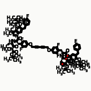 CC[C@H](N[C@@H](Cc1c(F)cc(OCC#CC#CCOc2cc(F)c(C[C@H](N[C@@H](CC)C(=O)N(C)C(=O)OC(C)(C)C)C(=O)N3CC(C)(C)c4nc(O[Si](C)(C)C(C)(C)C)c(Cc5ccc(F)cc5)cc43)c(F)c2)cc1F)C(=O)N1CC(C)(C)c2nc(O[Si](C)(C)C(C)(C)C)c(Cc3ccc(F)cc3)cc21)C(=O)N(C)C(=O)OC(C)(C)C